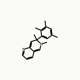 Cc1cc(C)c(C)c(C2(C)C=c3ncccc3=CN2C)c1